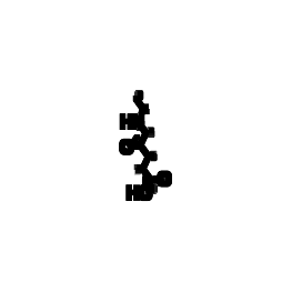 CCNCC(=O)CCC(=O)O